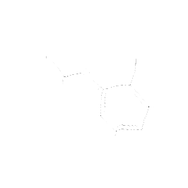 Fc1ccccc1OCC(F)(F)F